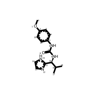 COc1ccc(NC(=O)N[C@H](c2ncc[nH]2)C(C)C)cc1